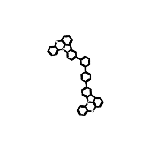 c1cc(-c2ccc(-c3ccc4c(c3)c3cccc5c3n4-c3ccccc3O5)cc2)cc(-c2ccc3c(c2)c2cccc4c2n3-c2ccccc2O4)c1